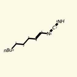 CCCCCCCC=CN=C=N